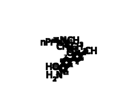 C#Cc1ccc(-c2ccc3c(c2)CC(N)C3O)c(O/C(C)=C/C(C)=N\C(C)=C\CCC)c1